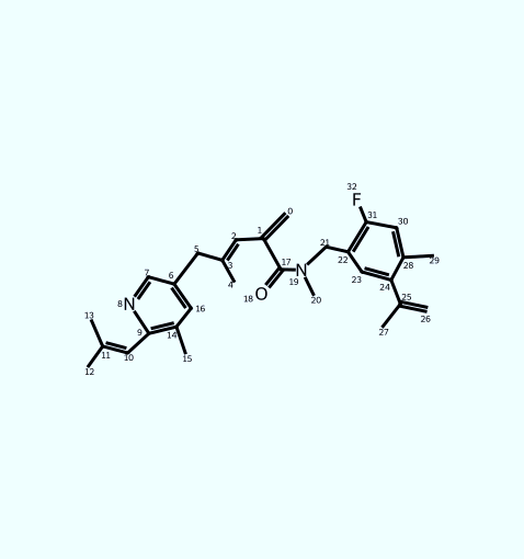 C=C(/C=C(\C)Cc1cnc(C=C(C)C)c(C)c1)C(=O)N(C)Cc1cc(C(=C)C)c(C)cc1F